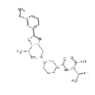 COc1cccc(-c2nc(CO[C@H]3CCC[C@@H](C(=O)N[C@H](C(=O)O)C(C)C)C3)c(C(C)C)o2)c1